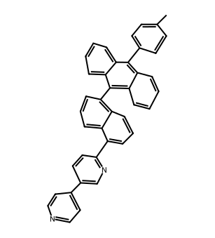 Cc1ccc(-c2c3ccccc3c(-c3cccc4c(-c5ccc(-c6ccncc6)cn5)cccc34)c3ccccc23)cc1